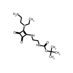 CCN(CCN)c1c(NCCNC(=O)OC(C)(C)C)c(=O)c1=O